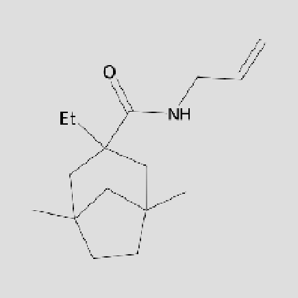 C=CCNC(=O)C1(CC)CC2(C)CCC(C)(C2)C1